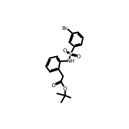 CC(C)(C)OC(=O)Cc1ccccc1NS(=O)(=O)c1cccc(Br)c1